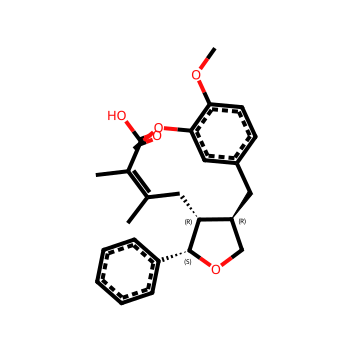 COc1ccc(C[C@H]2CO[C@H](c3ccccc3)[C@@H]2CC(C)=C(C)C(=O)O)cc1OC